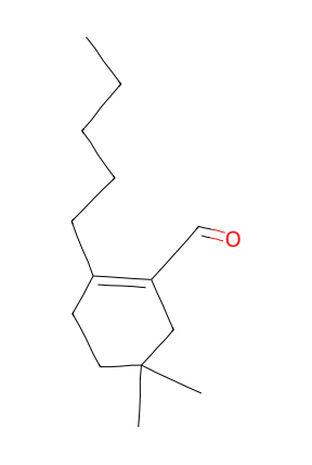 CCCCCC1=C(C=O)CC(C)(C)CC1